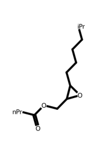 CCCC(=O)OCC1OC1CCCCC(C)C